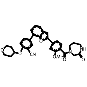 COc1cc(-c2cc3cccc(-c4ccc(OC5CCOCC5)c(C#N)c4)c3o2)ccc1C(=O)N1CCCNC(=O)C1